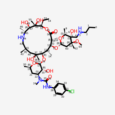 CCCNC[C@]1(O)[C@H](C)O[C@@H](O[C@H]2[C@H](C)[C@@H](O[C@@H]3O[C@H](C)C[C@H](N(C)C(=O)Nc4ccc(Cl)cc4)[C@H]3O)[C@](C)(O)C[C@@H](C)CN[C@H](C)[C@@H](O)[C@](C)(O)[C@@H](CC)OC(=O)[C@@H]2C)C[C@@]1(C)OC